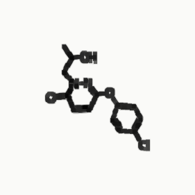 CC(O)Cn1nc(Oc2ccc(Cl)cc2)ccc1=O